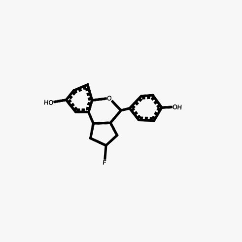 Oc1ccc(C2Oc3ccc(O)cc3C3CC(F)CC32)cc1